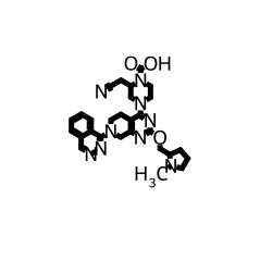 CN1CCCC1COc1nc2c(c(N3CCN(C(=O)O)C(CC#N)C3)n1)CCN(c1nncc3ccccc13)C2